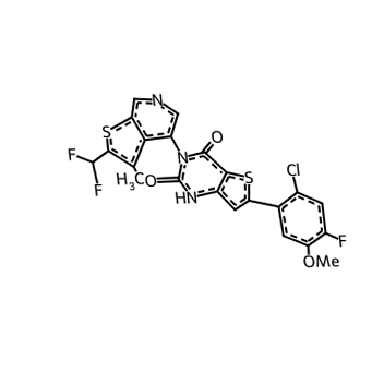 COc1cc(-c2cc3[nH]c(=O)n(-c4cncc5sc(C(F)F)c(C)c45)c(=O)c3s2)c(Cl)cc1F